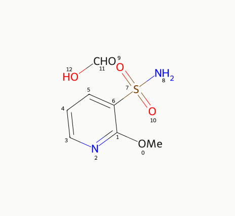 COc1ncccc1S(N)(=O)=O.O=CO